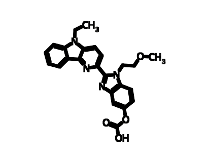 CCn1c2ccccc2c2nc(-c3nc4cc(OC(=O)O)ccc4n3CCOC)ccc21